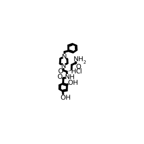 Cl.NC(=O)CC[C@H](NC(=O)c1ccc(O)cc1O)C(=O)N1CCN(Cc2ccccc2)CC1